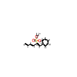 C=CC=CC(=Cc1ccccc1)S(=O)(=O)[O-].[Li+]